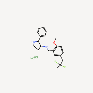 COc1ccc(CC(C)(F)F)cc1CNC1CCNC1c1ccccc1.Cl.Cl